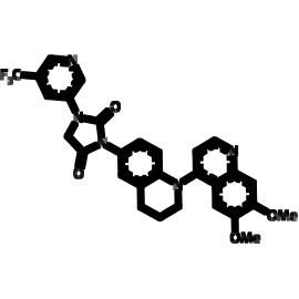 COc1cc2nccc(N3CCCc4cc(N5C(=O)CN(c6cncc(C(F)(F)F)c6)C5=O)ccc43)c2cc1OC